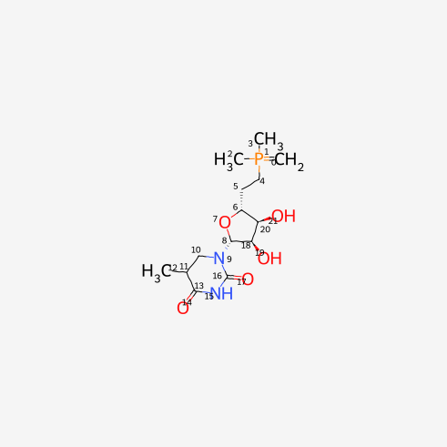 C=P(C)(C)CC[C@H]1O[C@@H](N2CC(C)C(=O)NC2=O)[C@H](O)[C@@H]1O